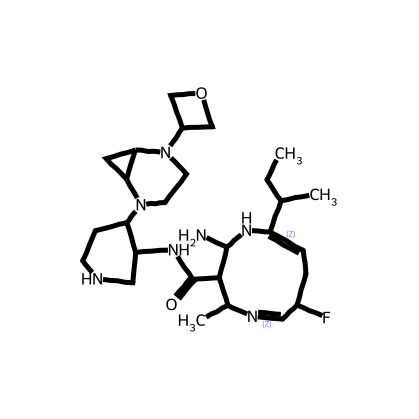 CCC(C)/C1=C/CC(F)/C=N\C(C)C(C(=O)NC2CNCCC2N2CCN(C3COC3)C3CC32)C(N)N1